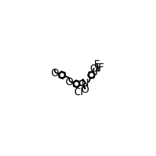 COc1ccc(COc2cc(Cl)c3c(c2)CN(Cc2ccc(OC(F)(F)F)cc2)C3=O)cc1